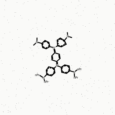 CCCN(CCC)c1ccc([N+](=C2C=CC(=[N+](c3ccc(N(C)C)cc3)c3ccc(N(C)C)cc3)C=C2)c2ccc(N(CCC)CCC)cc2)cc1